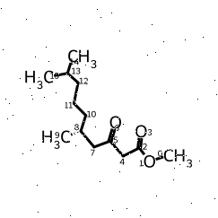 COC(=O)CC(=O)C[C@H](C)CCCC(C)C